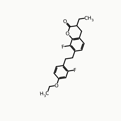 CCOc1ccc(CCc2ccc3c(c2F)OC(=O)C(CC)C3)c(F)c1